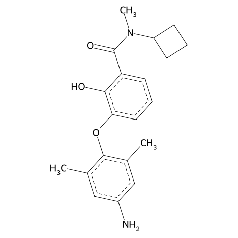 Cc1cc(N)cc(C)c1Oc1cccc(C(=O)N(C)C2CCC2)c1O